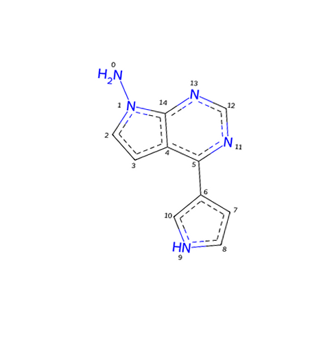 Nn1ccc2c(-c3cc[nH]c3)ncnc21